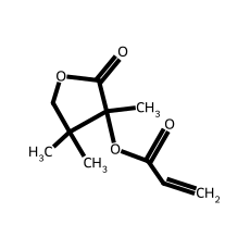 C=CC(=O)OC1(C)C(=O)OCC1(C)C